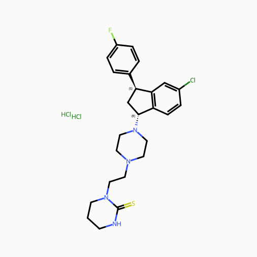 Cl.Cl.Fc1ccc([C@@H]2C[C@@H](N3CCN(CCN4CCCNC4=S)CC3)c3ccc(Cl)cc32)cc1